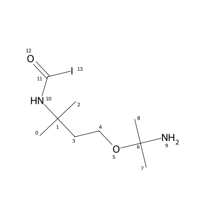 CC(C)(CCOC(C)(C)N)NC(=O)I